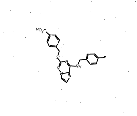 O=C(O)c1ccc(CSc2nc(NCc3ccc(F)cc3)c3cccn3n2)cc1